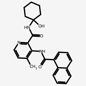 Cc1ccnc(C(=O)NC2(O)CCCCC2)c1NC(=O)c1cccc2ccccc12